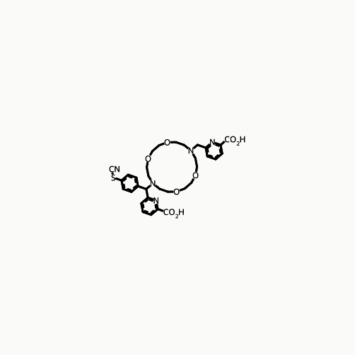 N#CSc1ccc(C(c2cccc(C(=O)O)n2)N2CCOCCOCCN(Cc3cccc(C(=O)O)n3)CCOCCOCC2)cc1